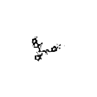 Cn1nc(C(=O)N(CC(=O)NCc2ccc(S(N)(=O)=O)cc2)Cc2ccccc2F)c2c1-c1cc(Cl)ccc1OC2